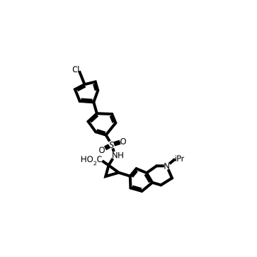 CC(C)N1CCc2ccc(C3CC3(NS(=O)(=O)c3ccc(-c4ccc(Cl)cc4)cc3)C(=O)O)cc2C1